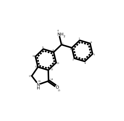 NC(c1ccccc1)c1ccc2c(c1)C(=O)NC2